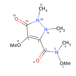 COc1c(C(=O)N(C)OC)n(C)n(C)c1=O